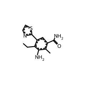 CCc1c(-c2nccs2)cc(C(N)=O)c(C)c1N